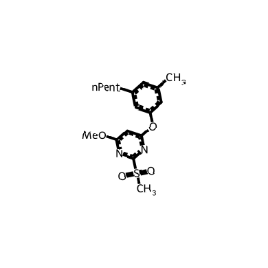 CCCCCc1cc(C)cc(Oc2cc(OC)nc(S(C)(=O)=O)n2)c1